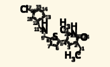 CCc1cc(-c2ccc(CNCc3cccc(Cl)c3)s2)c(C)[nH]c1=O